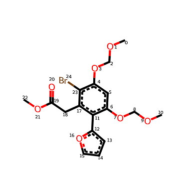 COCOc1cc(OCOC)c(-c2ccco2)c(CC(=O)OC)c1Br